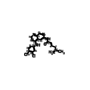 CN(C)CC=CC(=O)Nc1cc2c(Nc3ccc(Cl)c(Cl)c3)ncnc2cn1